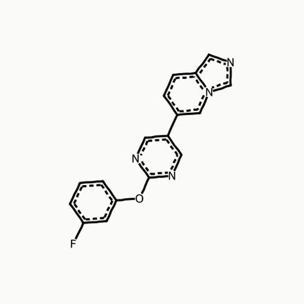 Fc1cccc(Oc2ncc(-c3ccc4cncn4c3)cn2)c1